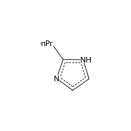 [CH2]C[CH]c1ncc[nH]1